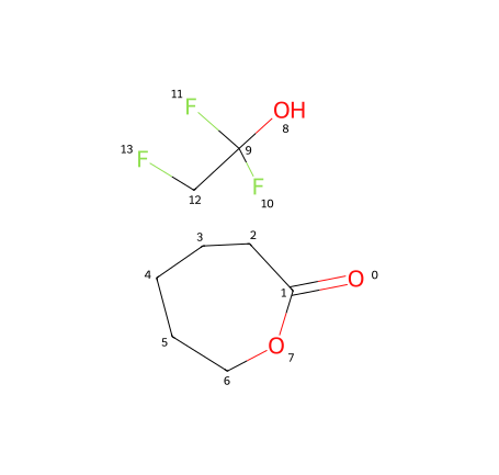 O=C1CCCCCO1.OC(F)(F)CF